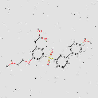 COCCOc1cc(CC(=O)O)cc(S(=O)(=O)c2cccc(-c3ccc(OC)cc3)c2)c1